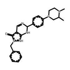 CC1CN(c2ccc(C3N=Cc4c([nH]n(Cc5ccccc5)c4=O)N3)cc2)CCN1C